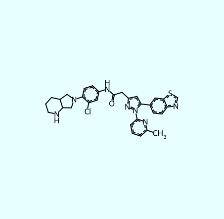 Cc1cccc(-n2nc(CC(=O)Nc3ccc(N4CC5CCCNC5C4)c(Cl)c3)cc2-c2ccc3ncsc3c2)n1